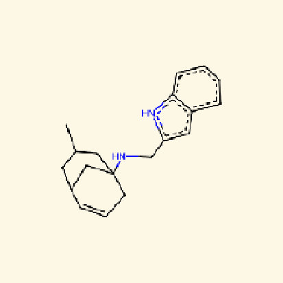 CC1CC2C=CCC(NCc3cc4ccccc4[nH]3)(C1)C2